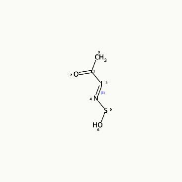 CC(=O)/I=N/SO